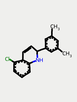 Cc1cc(C)cc(C2C=Cc3c(Cl)cccc3N2)c1